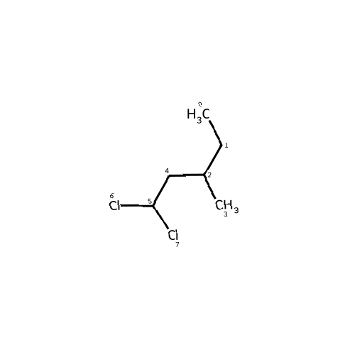 CCC(C)CC(Cl)Cl